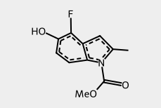 COC(=O)n1c(C)cc2c(F)c(O)ccc21